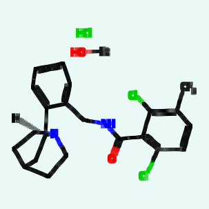 CCO.Cl.O=C(NCc1ccccc1[C@@H]1CC2CCN1CC2)c1c(Cl)ccc(C(F)(F)F)c1Cl